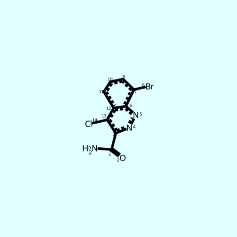 NC(=O)c1nnc2c(Br)cccc2c1Cl